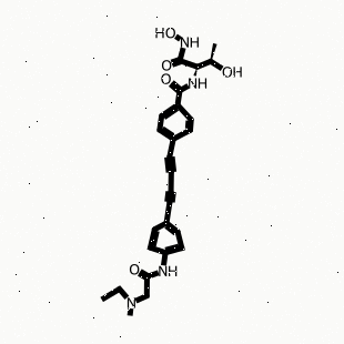 CCN(C)CC(=O)Nc1ccc(C#CC#Cc2ccc(C(=O)N[C@H](C(=O)NO)[C@@H](C)O)cc2)cc1